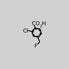 O=C(O)c1ccc(CF)cc1Cl